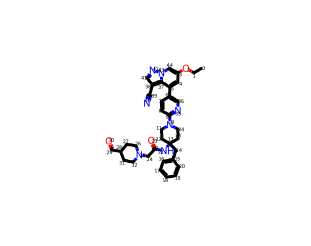 CCOc1cc(-c2ccc(N3CCC(Cc4ccccc4)(NC(=O)CN4CCC(C=O)CC4)CC3)nc2)c2c(C#N)cnn2c1